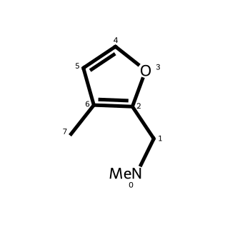 CNCc1occc1C